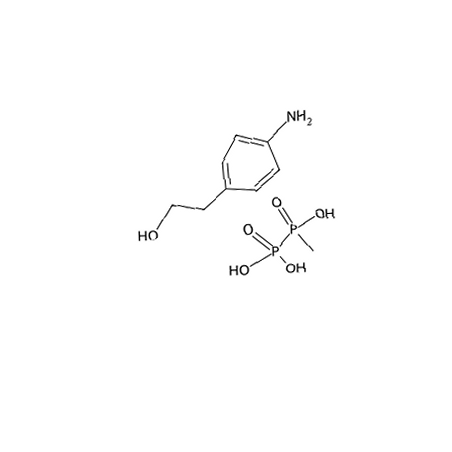 CP(=O)(O)P(=O)(O)O.Nc1ccc(CCO)cc1